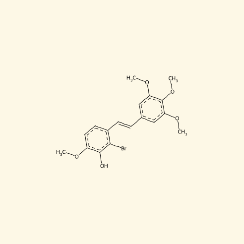 COc1ccc(C=Cc2cc(OC)c(OC)c(OC)c2)c(Br)c1O